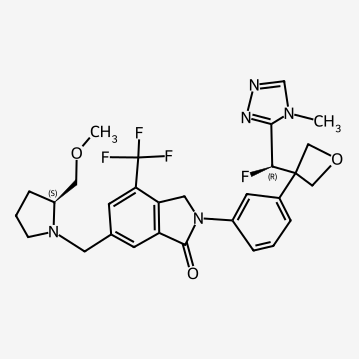 COC[C@@H]1CCCN1Cc1cc2c(c(C(F)(F)F)c1)CN(c1cccc(C3([C@@H](F)c4nncn4C)COC3)c1)C2=O